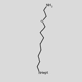 CCCCCCCCCCCCCCCOCCN